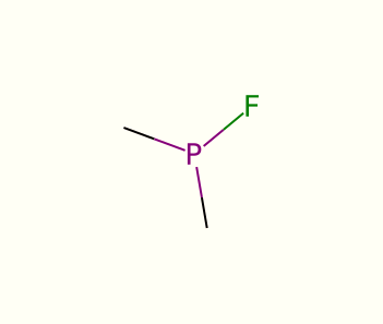 CP(C)F